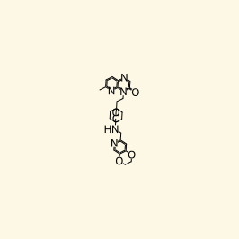 Cc1ccc2ncc(=O)n(CCC34CCC(NCc5cc6c(cn5)OCCO6)(CC3)CO4)c2n1